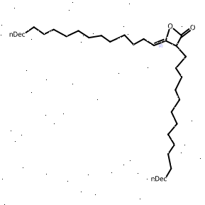 CCCCCCCCCCCCCCCCCCCCC/C=C1\OC(=O)C1CCCCCCCCCCCCCCCCCCCCC